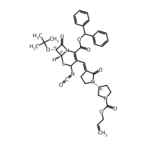 C=CCOC(=O)N1CC[C@@H](N2CCC(=CC3=C(C(=O)OC(c4ccccc4)c4ccccc4)N4C(=O)[C@@H](OC(C)(C)C)[C@H]4SC3N=C=O)C2=O)C1